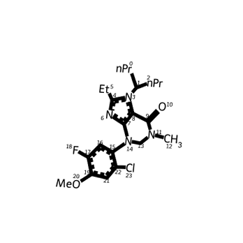 CCCC(CCC)n1c(CC)nc2c1C(=O)N(C)CN2c1cc(F)c(OC)cc1Cl